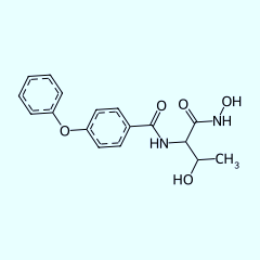 CC(O)C(NC(=O)c1ccc(Oc2ccccc2)cc1)C(=O)NO